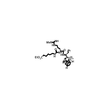 CCOC(=O)CCCCCNC(=O)N[C@@H](CCCNC(=N)NC)C(=O)N[C@@H](CC(C)C)B1O[C@@H]2C[C@@H]3C[C@@H](C3(C)C)[C@]2(C)O1